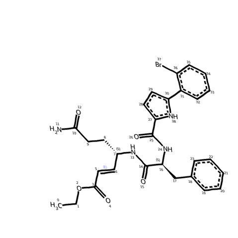 CCOC(=O)/C=C/[C@H](CCC(N)=O)NC(=O)[C@H](Cc1ccccc1)NC(=O)c1ccc(-c2ccccc2Br)[nH]1